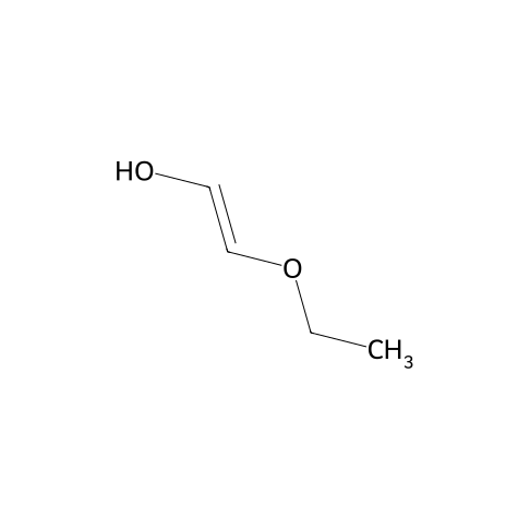 CCO/C=C/O